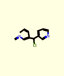 C=N/C=C(\C=C/C)C(Cl)c1cccnc1